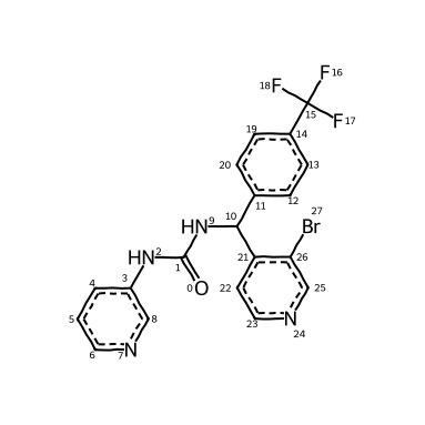 O=C(Nc1cccnc1)NC(c1ccc(C(F)(F)F)cc1)c1ccncc1Br